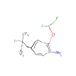 Nc1ccc(C(F)(C(F)(F)F)C(F)(F)F)cc1OC(F)F